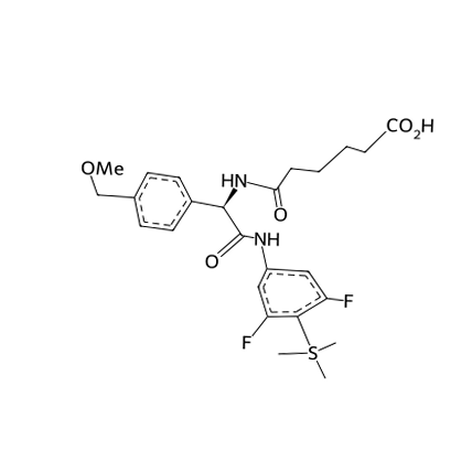 COCc1ccc([C@@H](NC(=O)CCCCC(=O)O)C(=O)Nc2cc(F)c(S(C)(C)C)c(F)c2)cc1